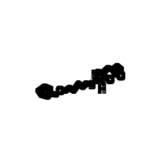 O=c1[nH]c(SCCCCCCOCc2ccccc2)ncc1Cc1ccoc1